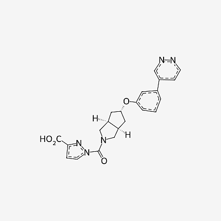 O=C(O)c1ccn(C(=O)N2C[C@H]3C[C@H](Oc4cccc(-c5ccnnc5)c4)C[C@H]3C2)n1